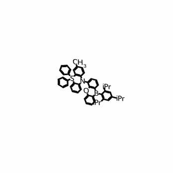 Cc1ccc2c(c1)S(c1ccccc1)(c1ccccc1)c1ccccc1N2c1cccc2c1Oc1ccccc1B2c1c(C(C)C)cc(C(C)C)cc1C(C)C